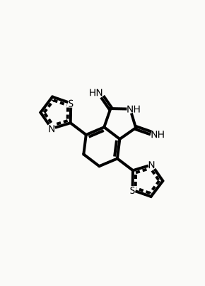 N=C1NC(=N)C2=C(c3nccs3)CCC(c3nccs3)=C12